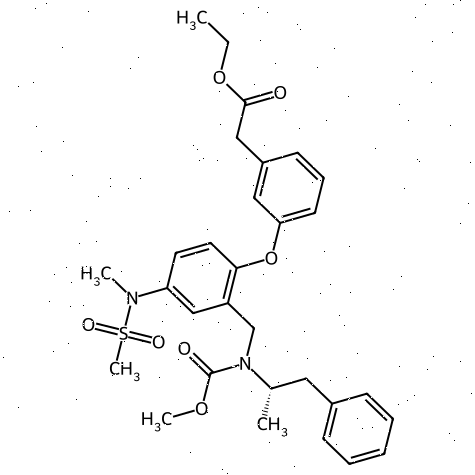 CCOC(=O)Cc1cccc(Oc2ccc(N(C)S(C)(=O)=O)cc2CN(C(=O)OC)[C@@H](C)Cc2ccccc2)c1